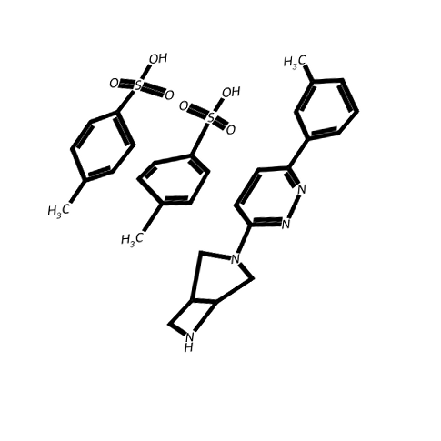 Cc1ccc(S(=O)(=O)O)cc1.Cc1ccc(S(=O)(=O)O)cc1.Cc1cccc(-c2ccc(N3CC4CNC4C3)nn2)c1